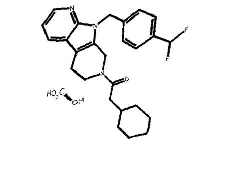 O=C(CC1CCCCC1)N1CCc2c(n(Cc3ccc(C(F)F)cc3)c3ncccc23)C1.O=C(O)O